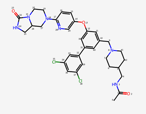 CC(=O)NCC1CCN(Cc2cc(Oc3ccc(N4CCN5C(=O)NCC5C4)nc3)cc(-c3cc(Cl)cc(Cl)c3)c2)CC1